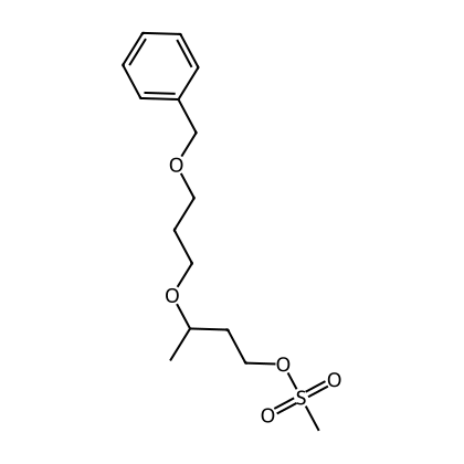 CC(CCOS(C)(=O)=O)OCCCOCc1ccccc1